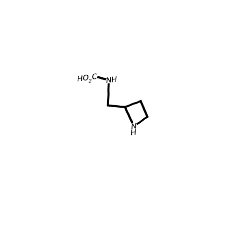 O=C(O)NCC1CCN1